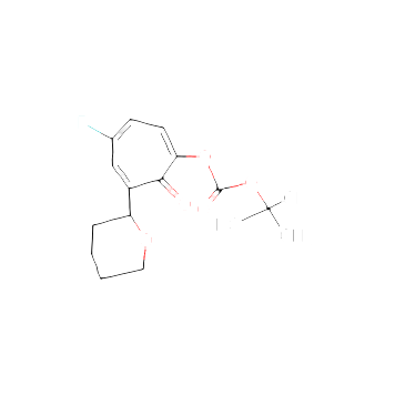 CC(C)(C)OC(=O)Oc1ccc(F)cc(C2CCCCO2)c1=O